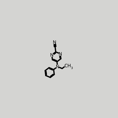 CCN(c1ccccc1)c1cnc(C#N)nc1